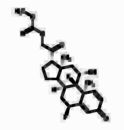 COC(=O)OCC(=O)[C@H]1CCC2[C@@H]3C[C@H](F)C4=CC(=O)C=C[C@]4(C)[C@@]3(F)[C@@H](O)C[C@@]21C